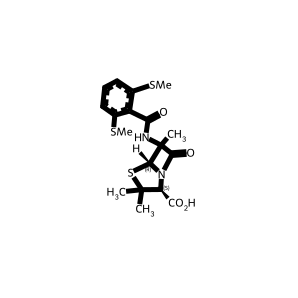 CSc1cccc(SC)c1C(=O)NC1(C)C(=O)N2[C@@H](C(=O)O)C(C)(C)S[C@@H]21